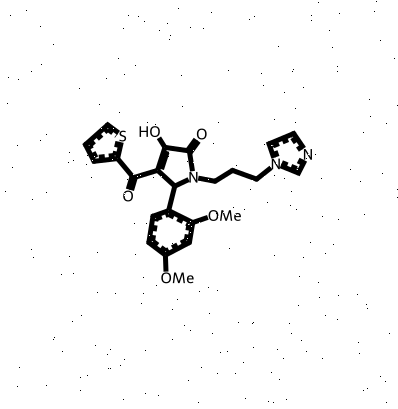 COc1ccc(C2C(C(=O)c3cccs3)=C(O)C(=O)N2CCCn2ccnc2)c(OC)c1